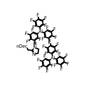 CCCCCCCCCCCC1=NCCN1.Fc1c(F)c(F)[c]([Al]([c]2c(F)c(F)c(F)c(F)c2F)[c]2c(F)c(F)c(F)c(F)c2F)c(F)c1F.Fc1c(F)c(F)[c]([Al]([c]2c(F)c(F)c(F)c(F)c2F)[c]2c(F)c(F)c(F)c(F)c2F)c(F)c1F